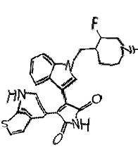 O=C1NC(=O)C(c2cn(CC3CCNCC3F)c3ccccc23)=C1c1c[nH]c2sccc12